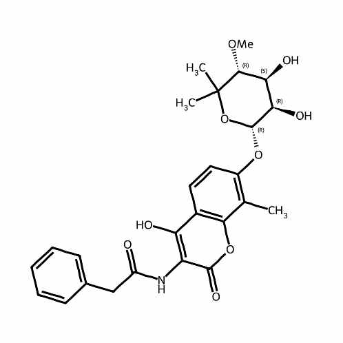 CO[C@@H]1[C@@H](O)[C@@H](O)[C@H](Oc2ccc3c(O)c(NC(=O)Cc4ccccc4)c(=O)oc3c2C)OC1(C)C